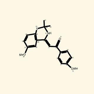 COc1ccc(C(=O)C=C2NC(C)(C)Sc3ccc(OC)cc32)cc1